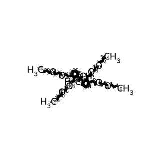 CCCCOCCOCCc1[c]ccc(C(C)(C)c2cc[c]c(CCOCCOCCCC)c2CCOCCOCCCC)c1CCOCCOCCCC